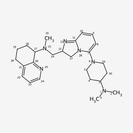 CN(C)C1CCN(C2=CC=CC3=NC(CN(C)C4CCCc5cccnc54)CN23)CC1